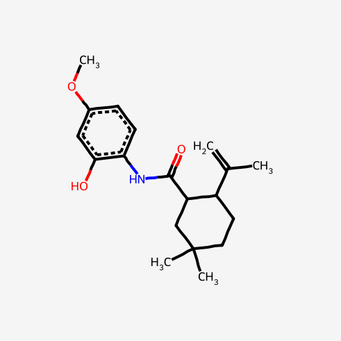 C=C(C)C1CCC(C)(C)CC1C(=O)Nc1ccc(OC)cc1O